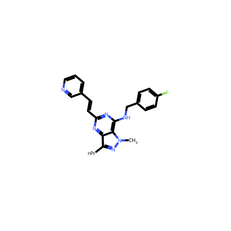 CCCc1nn(C)c2c(NCc3ccc(F)cc3)nc(C=Cc3cccnc3)nc12